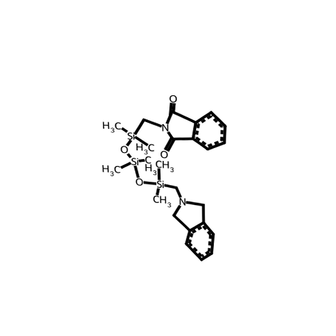 C[Si](C)(CN1Cc2ccccc2C1)O[Si](C)(C)O[Si](C)(C)CN1C(=O)c2ccccc2C1=O